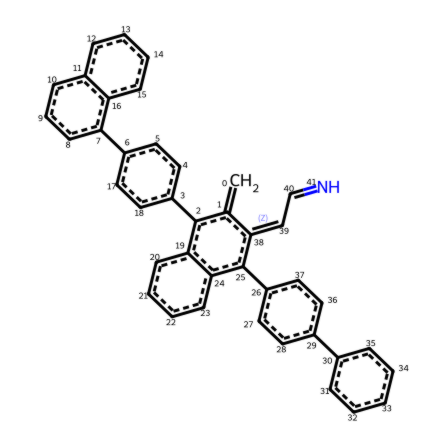 C=c1c(-c2ccc(-c3cccc4ccccc34)cc2)c2ccccc2c(-c2ccc(-c3ccccc3)cc2)/c1=C/C=N